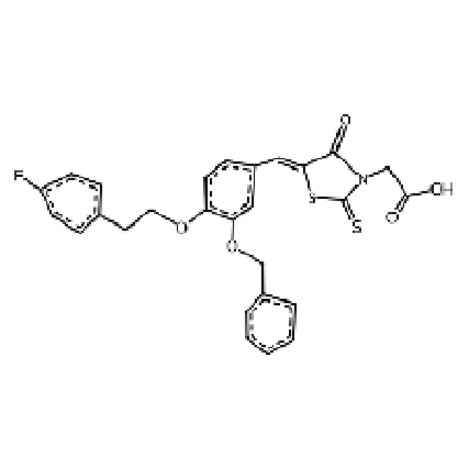 O=C(O)CN1C(=O)C(=Cc2ccc(OCCc3ccc(F)cc3)c(OCc3ccccc3)c2)SC1=S